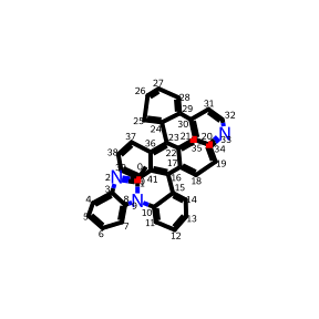 Cc1nc2ccccc2n1-c1ccccc1-c1c2ccccc2c(-c2ccccc2-c2ccncc2)c2ccccc12